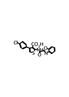 O=C(Nc1scc(-c2ccc(Cl)cc2)c1C(=O)O)c1nc2ccccc2o1